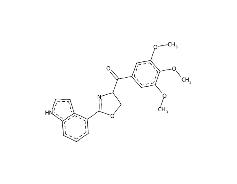 COc1cc(C(=O)C2COC(c3cccc4[nH]ccc34)=N2)cc(OC)c1OC